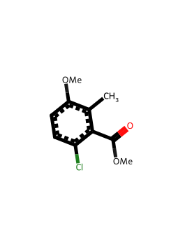 COC(=O)c1c(Cl)ccc(OC)c1C